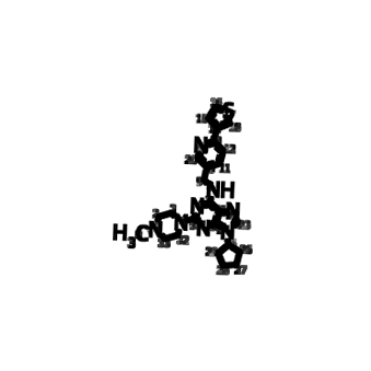 CN1CCN(c2nc(NCc3ccc(-c4ccsc4)nc3)c3ncn(C4CCCC4)c3n2)CC1